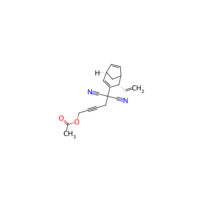 C=C[C@@H]1C(C(C#N)(C#N)CC#CCOC(C)=O)=C[C@H]2C=CC1C2